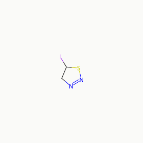 IC1CN=NS1